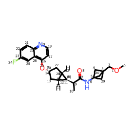 COCC12CC(NC(=O)C(C)[C@H]3[C@@H]4C[C@H](Oc5ccnc6ccc(F)cc56)C[C@@H]43)(C1)C2